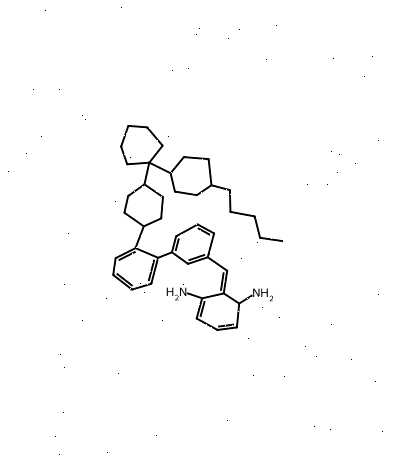 CCCCCC1CCC(C2(C3CCC(c4ccccc4-c4cccc(C=C5C(N)=CC=CC5N)c4)CC3)CCCCC2)CC1